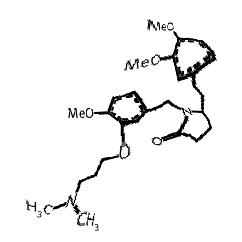 COc1ccc(CC2CCC(=O)N2Cc2ccc(OC)c(OCCCN(C)C)c2)cc1OC